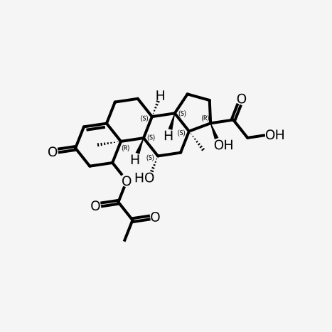 CC(=O)C(=O)OC1CC(=O)C=C2CC[C@@H]3[C@H]([C@@H](O)C[C@@]4(C)[C@H]3CC[C@]4(O)C(=O)CO)[C@]21C